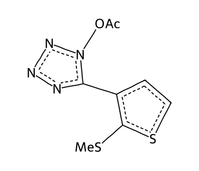 CSc1sccc1-c1nnnn1OC(C)=O